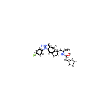 CCCC(C[C@H]1CCC2=C1[C@@H](C)C1=CNN(c3ccc(F)cc3)C1=C2)NC(=O)CC1CCCC1